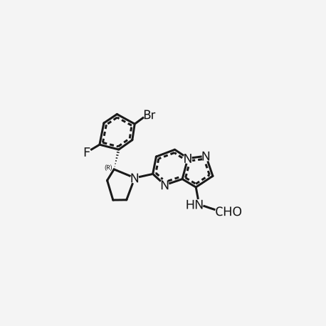 O=CNc1cnn2ccc(N3CCC[C@@H]3c3cc(Br)ccc3F)nc12